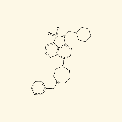 O=S1(=O)c2cccc3c(N4CCCN(Cc5ccccc5)CC4)ccc(c23)N1CC1CCCCC1